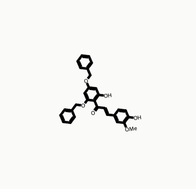 COc1cc(/C=C/C(=O)c2c(O)cc(OCc3ccccc3)cc2OCc2ccccc2)ccc1O